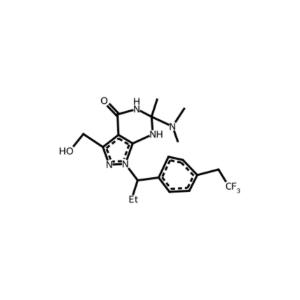 CCC(c1ccc(CC(F)(F)F)cc1)n1nc(CO)c2c1NC(C)(N(C)C)NC2=O